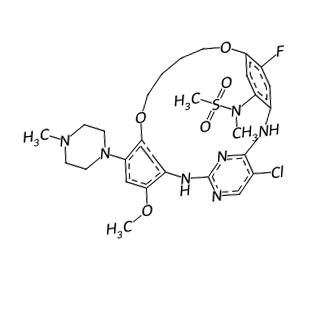 COc1cc(N2CCN(C)CC2)c2cc1Nc1ncc(Cl)c(n1)Nc1cc(F)c(cc1N(C)S(C)(=O)=O)OCCCCO2